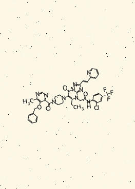 CCc1c(N2CCN(C(=O)c3ncnc(C)c3OCc3ccccc3)CC2)c(=O)n2nc(/C=C/c3ccccn3)nc2n1CC(=O)Nc1ccc(C(F)(F)F)cc1Cl